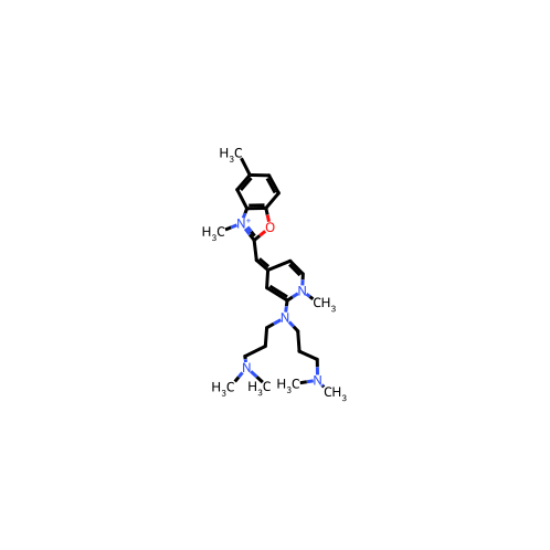 Cc1ccc2oc(/C=C3\C=CN(C)C(N(CCCN(C)C)CCCN(C)C)=C3)[n+](C)c2c1